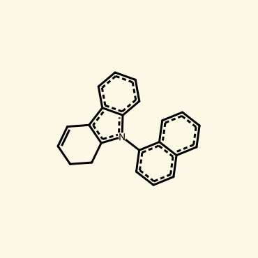 C1=Cc2c(n(-c3cccc4ccccc34)c3ccccc23)CC1